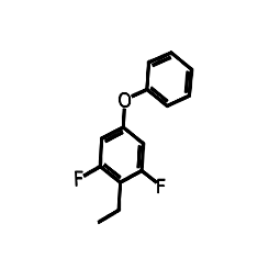 CCc1c(F)cc(Oc2ccccc2)cc1F